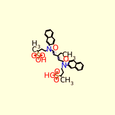 CCC(/C=C1\Oc2cc3ccccc3cc2N1CCC(C)S(=O)(=O)O)=C\c1oc2cc3ccccc3cc2[n+]1CCC(C)S(=O)(=O)O